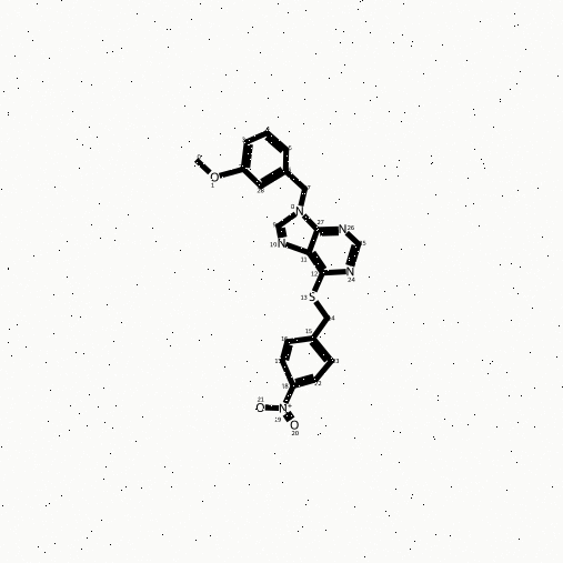 COc1cccc(Cn2cnc3c(SCc4ccc([N+](=O)[O-])cc4)ncnc32)c1